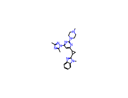 Cc1nc(C)n(-c2cc(C3CC3c3nc4ccccc4n3C)nc(N3CCN(C)CC3)n2)n1